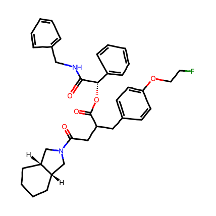 O=C(O[C@H](C(=O)NCc1ccccc1)c1ccccc1)C(CC(=O)N1C[C@H]2CCCC[C@H]2C1)Cc1ccc(OCCF)cc1